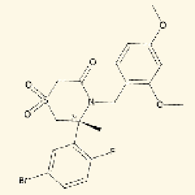 COc1ccc(CN2C(=O)CS(=O)(=O)C[C@@]2(C)c2cc(Br)ccc2F)c(OC)c1